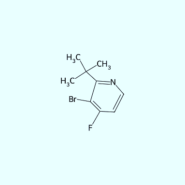 CC(C)(C)c1nccc(F)c1Br